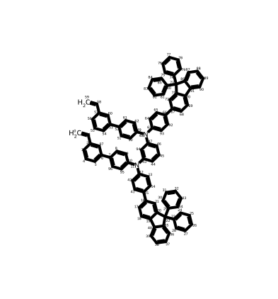 C=Cc1cccc(-c2ccc(N(c3ccc(-c4ccc5c(c4)C(c4ccccc4)(c4ccccc4)c4ccccc4-5)cc3)c3cccc(N(c4ccc(-c5cccc(C=C)c5)cc4)c4ccc(-c5ccc6c(c5)C(c5ccccc5)(c5ccccc5)c5ccccc5-6)cc4)c3)cc2)c1